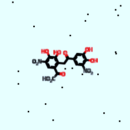 O=C(O)C(=O)c1cc([N+](=O)[O-])c(O)c(O)c1CC(=O)c1cc(O)c(O)c([N+](=O)[O-])c1